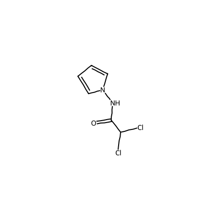 O=C(Nn1cccc1)C(Cl)Cl